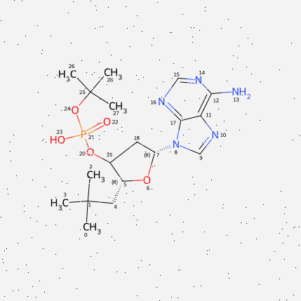 CC(C)(C)C[C@H]1O[C@@H](n2cnc3c(N)ncnc32)CC1OP(=O)(O)OC(C)(C)C